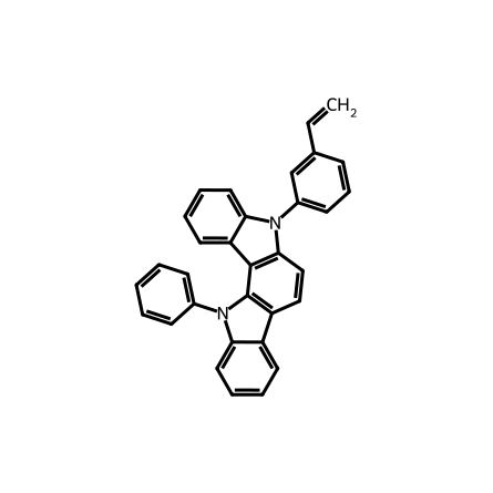 C=Cc1cccc(-n2c3ccccc3c3c2ccc2c4ccccc4n(-c4ccccc4)c23)c1